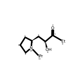 CCC(=O)[C@@H](O)C[C@@H]1CCCN1C(C)C